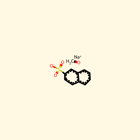 C=O.O=S(=O)([O-])c1ccc2ccccc2c1.[Na+]